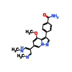 C/N=C\C(=C/NC)c1cc(OC)c2c(-c3ccc(C(N)=O)cc3)cnn2c1